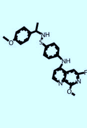 COc1ccc(C(C)NSc2ccc(Nc3ccnc4c(OC)nc(F)cc34)cc2)cc1